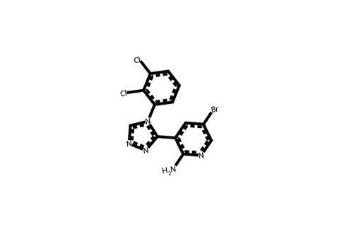 Nc1ncc(Br)cc1-c1nncn1-c1cccc(Cl)c1Cl